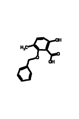 Cc1ccc(O)c(C(=O)O)c1OCc1ccccc1